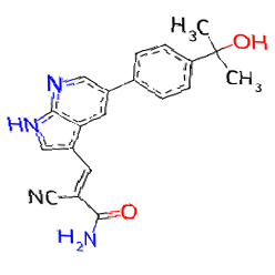 CC(C)(O)c1ccc(-c2cnc3[nH]cc(/C=C(\C#N)C(N)=O)c3c2)cc1